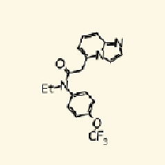 CCN(C(=O)Cc1cccc2nccn12)c1ccc(OC(F)(F)F)cc1